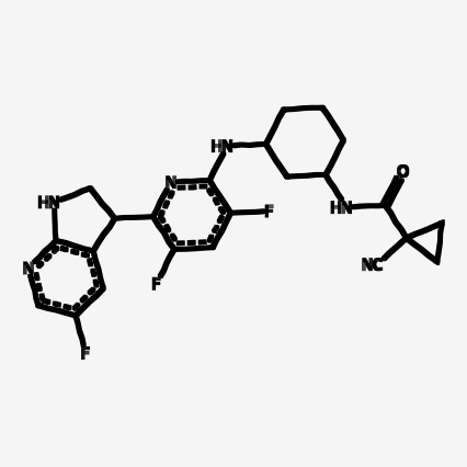 N#CC1(C(=O)NC2CCCC(Nc3nc(C4CNc5ncc(F)cc54)c(F)cc3F)C2)CC1